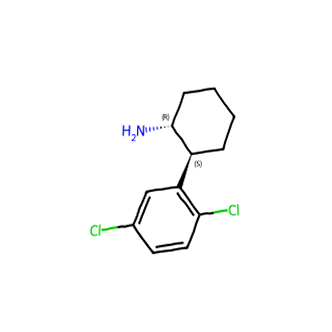 N[C@@H]1CCCC[C@H]1c1cc(Cl)ccc1Cl